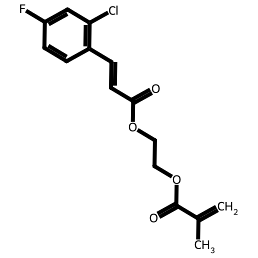 C=C(C)C(=O)OCCOC(=O)/C=C/c1ccc(F)cc1Cl